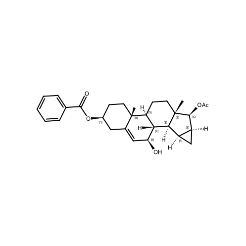 CC(=O)O[C@H]1[C@H]2C[C@H]2[C@H]2[C@@H]3[C@@H](O)C=C4C[C@@H](OC(=O)c5ccccc5)CC[C@]4(C)[C@H]3CC[C@@]21C